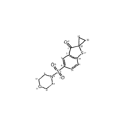 O=C1c2cc(S(=O)(=O)N3CCOCC3)ccc2SC12CC2